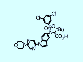 CC(C)(C)C(C(=O)O)N(c1ccc2c(ccn2-c2cnc(N3CCOCC3)cn2)c1)S(=O)(=O)c1cc(Cl)cc(Cl)c1